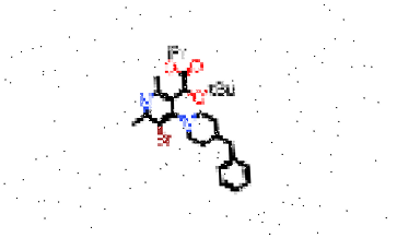 Cc1nc(C)c(C(OC(C)(C)C)C(=O)OC(C)C)c(N2CCC(Cc3ccccc3)CC2)c1Br